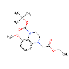 CCOC(=O)CN1CCN(C(=O)OC(C)(C)C)c2c(OC)cccc21